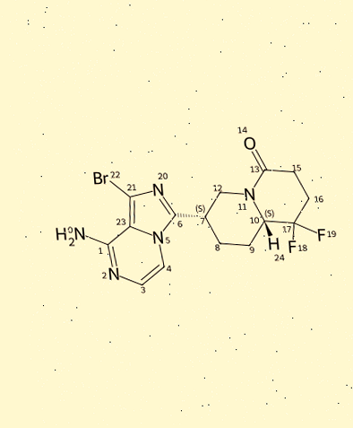 Nc1nccn2c([C@H]3CC[C@@H]4N(C3)C(=O)CCC4(F)F)nc(Br)c12